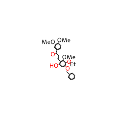 CCOc1c(OCc2ccccc2)cc(O)c(C=CC(=O)c2ccc(OC)c(OC)c2)c1OC